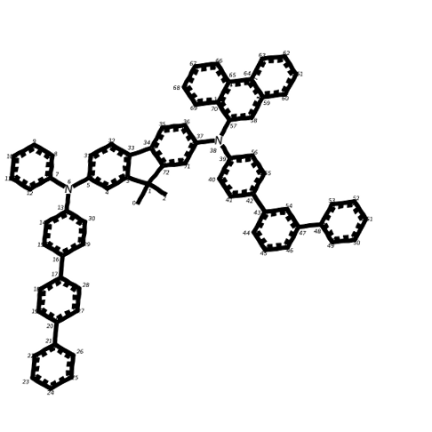 CC1(C)c2cc(N(c3ccccc3)c3ccc(-c4ccc(-c5ccccc5)cc4)cc3)ccc2-c2ccc(N(c3ccc(-c4cccc(-c5ccccc5)c4)cc3)c3cc4ccccc4c4ccccc34)cc21